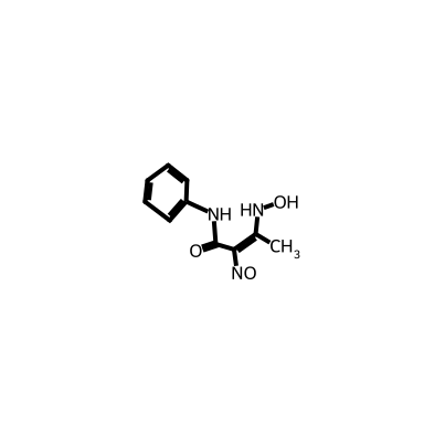 CC(NO)=C(N=O)C(=O)Nc1ccccc1